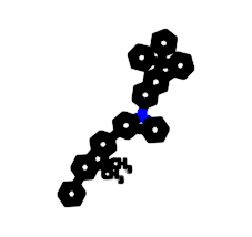 CC1(C)c2cc(-c3ccccc3)ccc2-c2ccc(-c3ccc4c(c3)c3ccccc3n4-c3ccc4cc5c(cc4c3)-c3ccccc3[Si]5(c3ccccc3)c3ccccc3)cc21